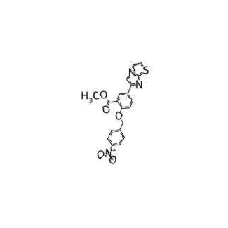 COC(=O)c1cc(-c2cn3ccsc3n2)ccc1OCc1ccc([N+](=O)[O-])cc1